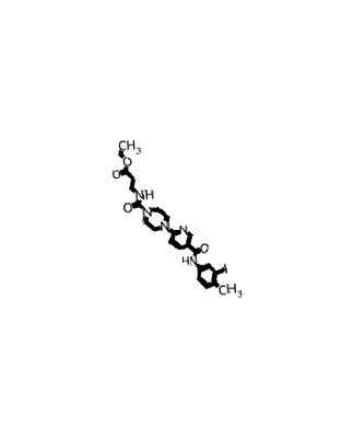 CCOC(=O)CCNC(=O)N1CCN(c2ccc(C(=O)Nc3ccc(C)c(I)c3)cn2)CC1